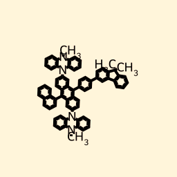 CN1c2ccccc2N(c2ccc3c(-c4cccc5ccccc45)c4cc(N5c6ccccc6N(C)c6ccccc65)ccc4c(-c4ccc(-c5ccc6c(c5)-c5ccccc5C6(C)C)cc4)c3c2)c2ccccc21